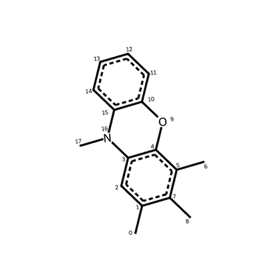 Cc1cc2c(c(C)c1C)Oc1ccccc1N2C